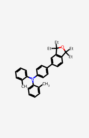 CCC1(CC)OC(CC)(CC)c2cc(-c3ccc(N(c4ccccc4C)c4ccccc4C)cc3)ccc21